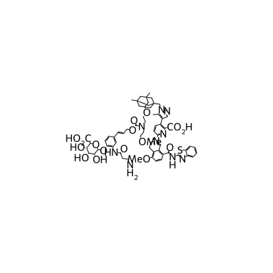 COCCN(CCOC12CC3(C)CC(C)(CC(Cn4ncc(-c5ccc(N6CCc7c(OC)ccc(C(=O)Nc8nc9ccccc9s8)c7C6)nc5C(=O)O)c4C)(C3)C1)C2)C(=O)OCC=Cc1ccc(O[C@@H]2O[C@H](C(=O)O)[C@@H](O)[C@H](O)[C@H]2O)c(NC(=O)CCN)c1